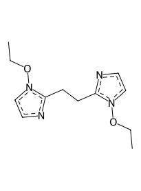 CCOn1ccnc1CCc1nccn1OCC